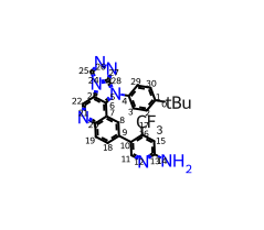 CC(C)(C)c1ccc(-n2c3c4cc(-c5cnc(N)cc5C(F)(F)F)ccc4ncc3n3cnnc23)cc1